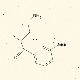 CNc1cccc(C(=O)C(C)CCN)c1